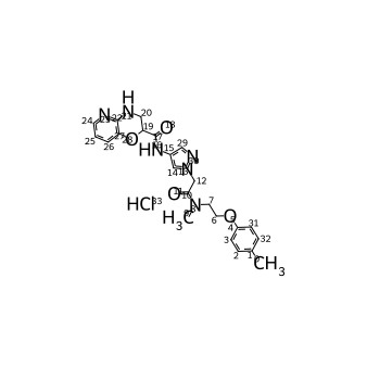 Cc1ccc(OCCN(C)C(=O)Cn2cc(NC(=O)C3CNc4ncccc4O3)cn2)cc1.Cl